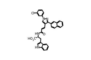 O=C(/C=C/c1cn(-c2cccc(Cl)c2)nc1-c1ccc2ccccc2c1)N[C@@H](Cc1c[nH]c2ccccc12)C(=O)O